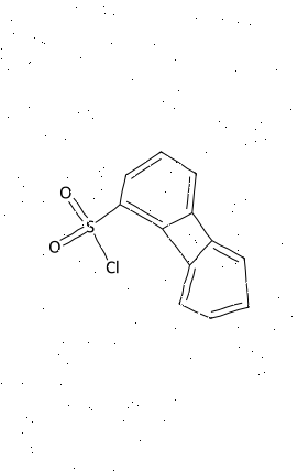 O=S(=O)(Cl)c1cccc2c1-c1ccccc1-2